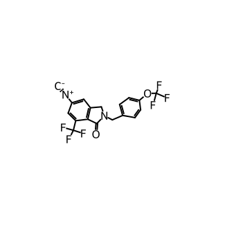 [C-]#[N+]c1cc2c(c(C(F)(F)F)c1)C(=O)N(Cc1ccc(OC(F)(F)F)cc1)C2